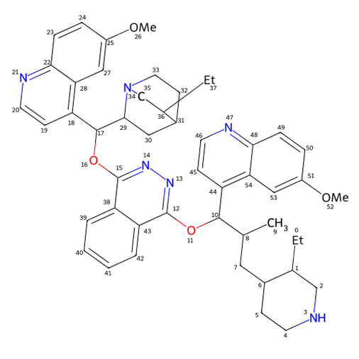 CCC1CNCCC1CC(C)C(Oc1nnc(OC(c2ccnc3ccc(OC)cc23)C2CC3CCN2CC3CC)c2ccccc12)c1ccnc2ccc(OC)cc12